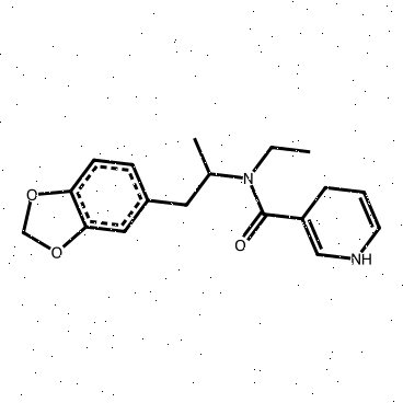 CCN(C(=O)C1=CNC=CC1)C(C)Cc1ccc2c(c1)OCO2